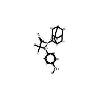 COc1ccc(N2N(C3C4CC5CC(C4)CC3C5)C(=O)C2(C)C)cc1